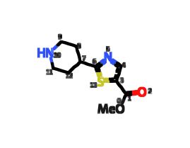 COC(=O)c1cnc(C2CCNCC2)s1